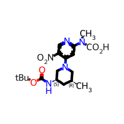 C[C@@H]1C[C@H](NC(=O)OC(C)(C)C)CN(c2cc(N(C)C(=O)O)ncc2[N+](=O)[O-])C1